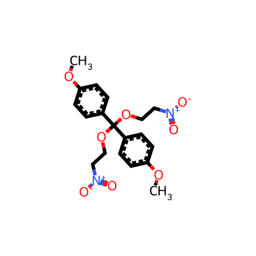 COc1ccc(C(OCC[N+](=O)[O-])(OCC[N+](=O)[O-])c2ccc(OC)cc2)cc1